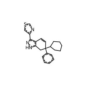 C1=CC(c2ccccc2)(C2CCCCC2)Cc2[nH]nc(-c3cscn3)c21